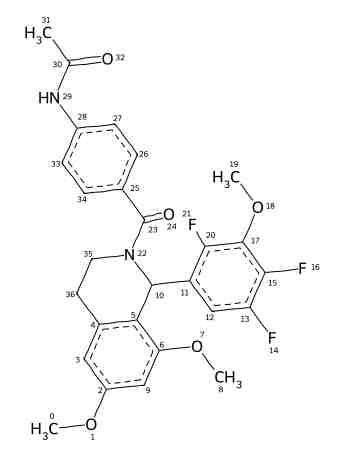 COc1cc2c(c(OC)c1)C(c1cc(F)c(F)c(OC)c1F)N(C(=O)c1ccc(NC(C)=O)cc1)CC2